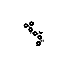 CCC(C)N(c1ccc(Nc2ccc(C)cc2)cc1)c1ccc(Nc2ccc(N(c3ccccc3)c3ccccc3)cc2)cc1